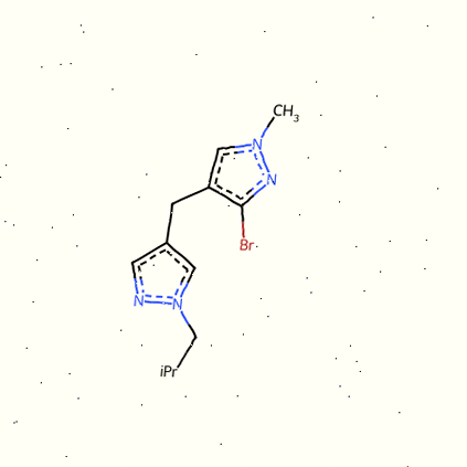 CC(C)Cn1cc(Cc2cn(C)nc2Br)cn1